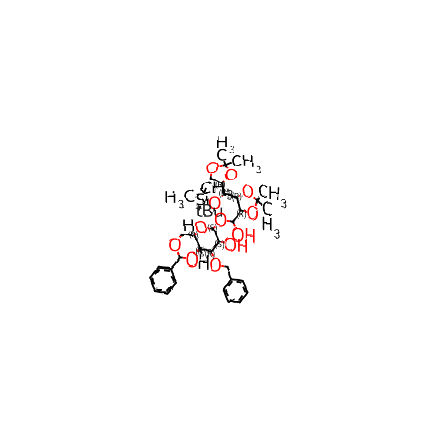 CC1(C)OC[C@H]([C@@H](O[Si](C)(C)C(C)(C)C)[C@@H]2OC(C)(C)O[C@H]2C(O)O[C@@H]2O[C@@H]3COC(c4ccccc4)O[C@H]3[C@H](OCc3ccccc3)[C@@H]2O)O1